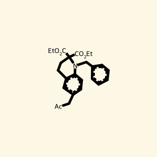 CCOC(=O)C1(C(=O)OCC)CCc2cc(CC(C)=O)ccc2N1Cc1ccccc1